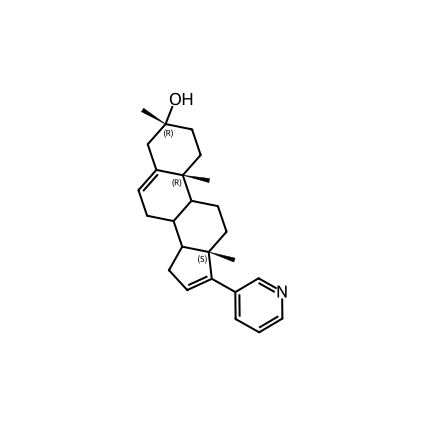 C[C@@]1(O)CC[C@@]2(C)C(=CCC3C2CC[C@]2(C)C(c4cccnc4)=CCC32)C1